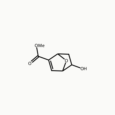 COC(=O)C1=CC2OC1CC2O